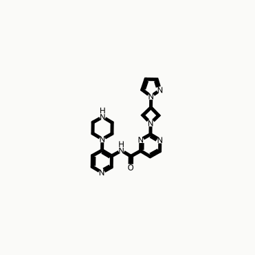 O=C(Nc1cnccc1N1CCNCC1)c1ccnc(N2CC(n3cccn3)C2)n1